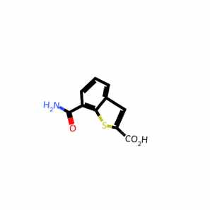 NC(=O)c1cccc2cc(C(=O)O)sc12